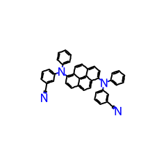 N#Cc1cccc(N(c2ccccc2)c2ccc3ccc4c(N(c5ccccc5)c5cccc(C#N)c5)ccc5ccc2c3c54)c1